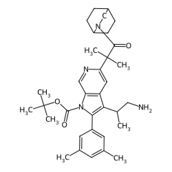 Cc1cc(C)cc(-c2c(C(C)CN)c3cc(C(C)(C)C(=O)N4CC5CCC4CC5)ncc3n2C(=O)OC(C)(C)C)c1